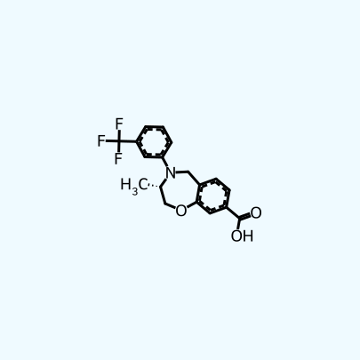 C[C@H]1COc2cc(C(=O)O)ccc2CN1c1cccc(C(F)(F)F)c1